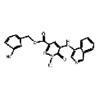 CCn1nc(C(=O)OCc2cccc(C#N)c2)cc(Nc2cncc3ccccc23)c1=O